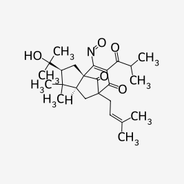 CC(C)=CCC12C[C@H]3C(C)(C)[C@@H](C(C)(C)O)C[C@]3(C1=O)C(N=O)=C(C(=O)C(C)C)C2=O